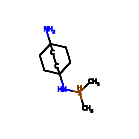 C[SH](C)NC12CCC(N)(CC1)CC2